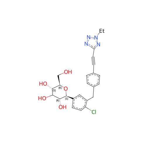 CCn1nnc(C#Cc2ccc(Cc3cc([C@@H]4O[C@H](CO)[C@@H](O)C(O)[C@H]4O)ccc3Cl)cc2)n1